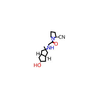 CC1(NCC(=O)N2CCC[C@H]2C#N)C[C@H]2C[C@H](O)C[C@H]2C1